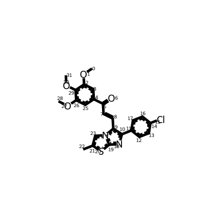 COc1cc(C(=O)C=Cc2c(-c3ccc(Cl)cc3)nc3sc(C)cn23)cc(OC)c1OC